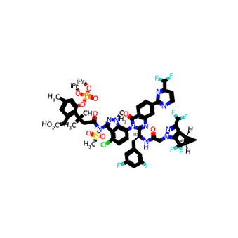 Cc1cc(CC(=O)O)c(C(C)(C)CC(=O)N(c2nn(C)c3c(-n4c([C@H](Cc5cc(F)cc(F)c5)NC(=O)Cn5nc(C(F)F)c6c5C(F)(F)[C@@H]5C[C@H]65)nc5cc(-c6nccc(C(F)F)n6)ccc5c4=O)ccc(Cl)c23)S(C)(=O)=O)c(OP(=O)(OC(C)C)OC(C)C)c1